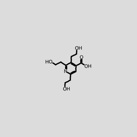 O=C(O)c1cc(CCO)nc(CCO)c1CCO